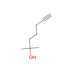 C#CCCCC(C)(C)O